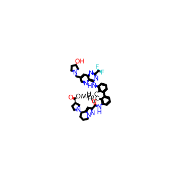 COC(=O)[C@@H]1CCN([C@@H]2CCCn3nc(C(=O)Nc4cccc(-c5cccc(Nc6nc(C(F)F)nc7cc(CN8CC[C@@H](O)C8)cnc67)c5C)c4C)cc32)C1